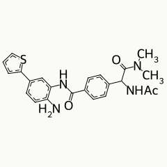 CC(=O)NC(C(=O)N(C)C)c1ccc(C(=O)Nc2cc(-c3cccs3)ccc2N)cc1